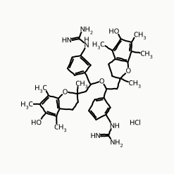 Cc1c(C)c2c(c(C)c1O)CCC(C)(CC(OC(CC1(C)CCc3c(C)c(O)c(C)c(C)c3O1)c1cccc(NC(=N)N)c1)c1cccc(NC(=N)N)c1)O2.Cl